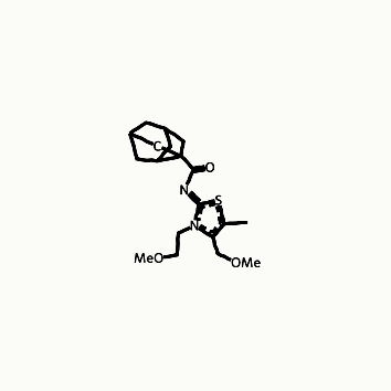 COCCn1c(COC)c(C)sc1=NC(=O)C12CC3CC(CC1C3)C2